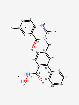 Cc1ccc2nc(C)n(Cc3ccc(C(=O)NO)c(-c4ccccc4)c3)c(=O)c2c1